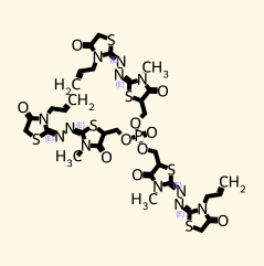 C=CCN1C(=O)CS/C1=N/N=C1/SC(COP(=O)(OCC2S/C(=N/N=C3/SCC(=O)N3CC=C)N(C)C2=O)OCC2S/C(=N/N=C3/SCC(=O)N3CC=C)N(C)C2=O)C(=O)N1C